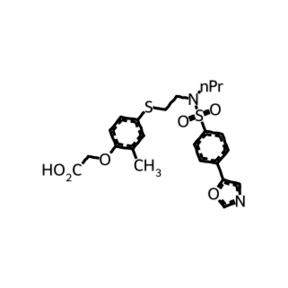 CCCN(CCSc1ccc(OCC(=O)O)c(C)c1)S(=O)(=O)c1ccc(-c2cnco2)cc1